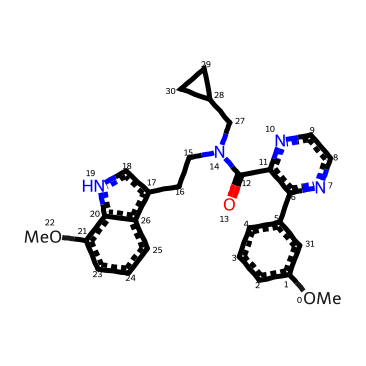 COc1cccc(-c2nccnc2C(=O)N(CCc2c[nH]c3c(OC)cccc23)CC2CC2)c1